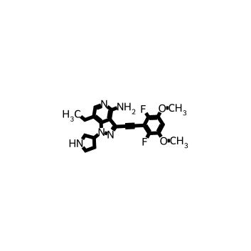 CCc1cnc(N)c2c(C#Cc3c(F)c(OC)cc(OC)c3F)nn(C3CCNC3)c12